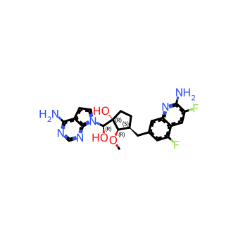 CO[C@@H]1[C@H](Cc2cc(F)c3cc(F)c(N)nc3c2)CC[C@]1(O)[C@@H](O)n1ccc2c(N)ncnc21